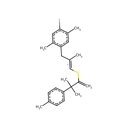 C=C(S/C=C(\C)Cc1cc(C)c(I)cc1C)C(C)(C)c1ccc(C)cc1